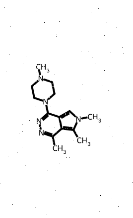 Cc1nnc(N2CCN(C)CC2)c2cn(C)c(C)c12